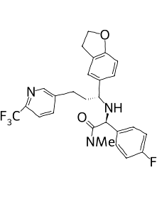 CNC(=O)[C@@H](N[C@H](CCc1ccc(C(F)(F)F)nc1)c1ccc2c(c1)CCO2)c1ccc(F)cc1